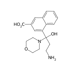 NCCC(O)(c1cc(C(=O)O)cc2ccccc12)N1CCOCC1